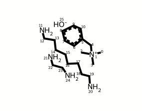 C[N+](C)(C)Cc1ccccc1.NCCCCCCCCN.NCCN.[OH-]